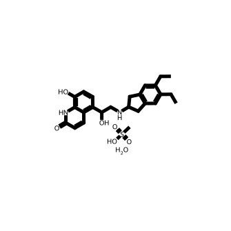 CCc1cc2c(cc1CC)CC(NCC(O)c1ccc(O)c3[nH]c(=O)ccc13)C2.CS(=O)(=O)O.O